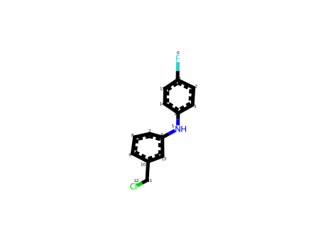 Fc1ccc(Nc2cccc(CCl)c2)cc1